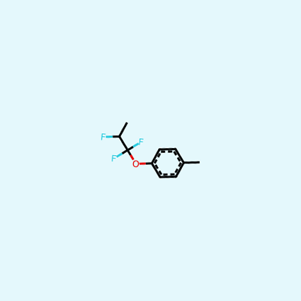 Cc1ccc(OC(F)(F)C(C)F)cc1